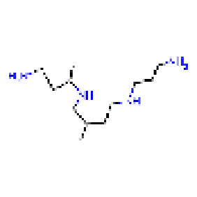 CC(CCNCCCN)CNC(C)CCN